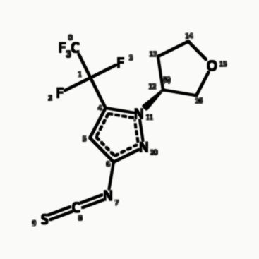 FC(F)(F)C(F)(F)c1cc(N=C=S)nn1[C@H]1CCOC1